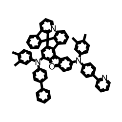 Cc1ccc(N(c2ccc(-c3ccccn3)cc2)c2ccc3oc4c(N(c5ccc(-c6ccccc6)cc5)c5ccc(C)c(C)c5)cc5c(c4c3c2)-c2ccccc2C52c3ccccc3-c3cccnc32)cc1C